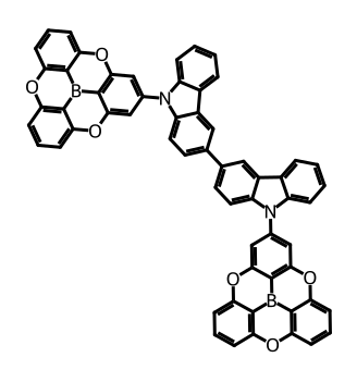 c1cc2c3c(c1)Oc1cc(-n4c5ccccc5c5cc(-c6ccc7c(c6)c6ccccc6n7-c6cc7c8c(c6)Oc6cccc9c6B8c6c(cccc6O7)O9)ccc54)cc4c1B3c1c(cccc1O4)O2